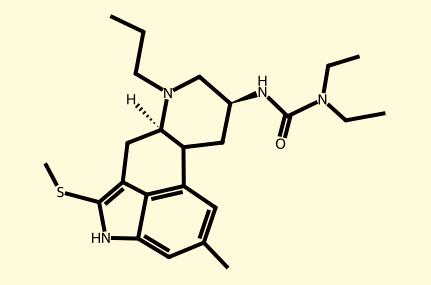 CCCN1C[C@@H](NC(=O)N(CC)CC)CC2c3cc(C)cc4[nH]c(SC)c(c34)C[C@H]21